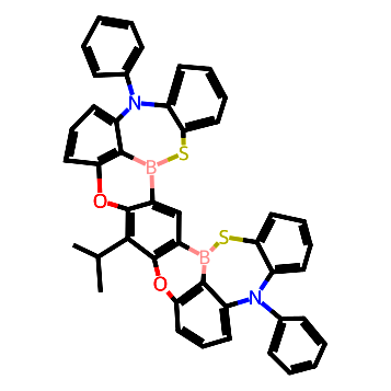 CC(C)c1c2c(cc3c1Oc1cccc4c1B3Sc1ccccc1N4c1ccccc1)B1Sc3ccccc3N(c3ccccc3)c3cccc(c31)O2